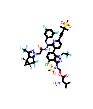 CC(C)[C@H](N)C(=O)OCN(c1nn(CC(F)(F)F)c2c(-c3ccc(C#CC(C)(C)S(C)(=O)=O)nc3[C@H](Cc3cc(F)cc(F)c3)NC(=O)Cn3nc(C(F)(F)F)c4c3C(F)(F)[C@@H]3C[C@H]43)ccc(Cl)c12)S(C)(=O)=O